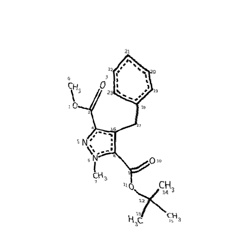 COC(=O)c1nn(C)c(C(=O)OC(C)(C)C)c1Cc1ccccc1